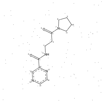 O=C(NCCC(=O)N1CCCC1)c1cnccn1